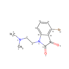 CN(C)CCN1C(=O)C(=O)c2c(Br)cccc21